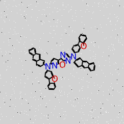 c1ccc2cc3cc(N(c4ccc5c(c4)oc4ccccc45)c4ccc5c(n4)oc4nc(N(c6ccc7cc8ccccc8cc7c6)c6ccc7c(c6)oc6ccccc67)cnc45)ccc3cc2c1